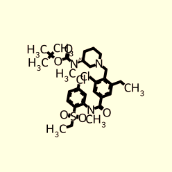 CCc1cc(C(=O)N(C)c2cc(Cl)ccc2S(=O)(=O)CC)cc(Cl)c1CN1CCC[C@H](N(C)C(=O)OC(C)(C)C)C1